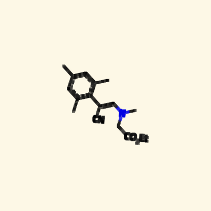 CCOC(=O)CN(C)C=C(C#N)c1c(C)cc(C)cc1C